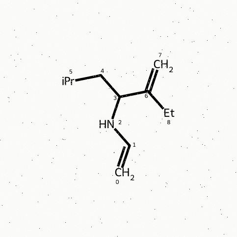 C=CNC(CC(C)C)C(=C)CC